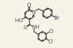 O=C(NCc1ccc(Cl)c(Cl)c1)c1cn(Cc2ccc(Br)cc2)c(=O)cc1O